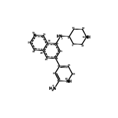 NC1=CC(c2cc(NC3CCNCC3)c3cnccc3c2)=CCN1